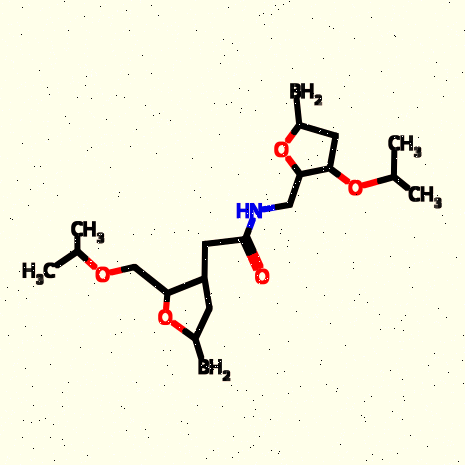 BC1CC(CC(=O)NCC2OC(B)CC2OC(C)C)C(COC(C)C)O1